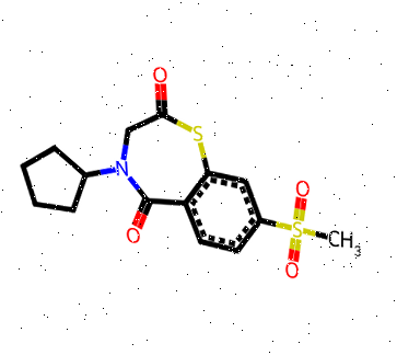 CS(=O)(=O)c1ccc2c(c1)SC(=O)CN(C1CCCC1)C2=O